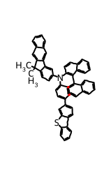 CC1(C)c2ccc(N(c3ccc(-c4ccc5c(c4)sc4ccccc45)cc3)c3ccc4ccccc4c3-c3cccc4ccccc34)cc2-c2cc3ccccc3cc21